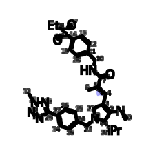 C=NC1=C(/C=C(\C)C(=O)NCc2ccc(S(=O)(=O)CC)cc2)CN(Cc2ccc(-c3nnn(C)n3)cc2)[C@H]1C(C)C